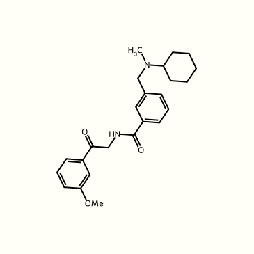 COc1cccc(C(=O)CNC(=O)c2cccc(CN(C)C3CCCCC3)c2)c1